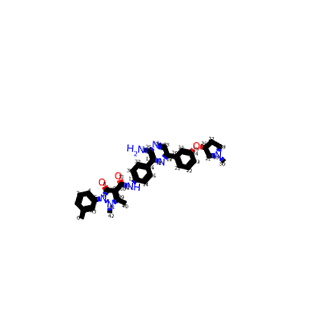 Cc1cccc(-n2c(=O)c(C(=O)Nc3ccc(-c4nc(-c5cccc(OC6CCN(C)C6)c5)cnc4N)cc3)c(C)n2C)c1